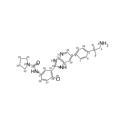 CC(C)(CN)c1ccc(-c2cnc3nc(-c4cc(NC(=O)N5CCCC5)ccc4Cl)[nH]c3c2)cc1